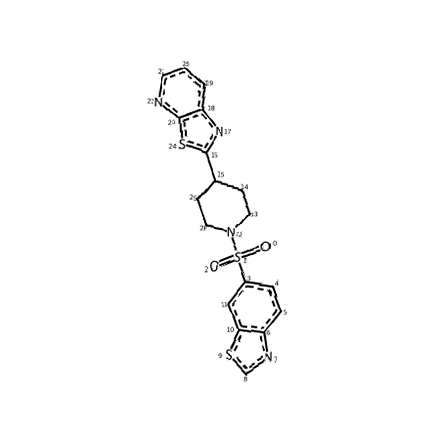 O=S(=O)(c1ccc2ncsc2c1)N1CCC(c2nc3cccnc3s2)CC1